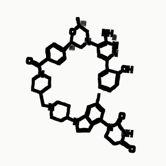 Cc1cc(N2CCC(=O)NC2=O)c2ccn(C3CCN(CC4CCN(C(=O)c5ccc([C@@H]6CN(c7cc(-c8ccccc8O)nnc7N)C[C@H](C)O6)cc5)CC4)CC3)c2c1